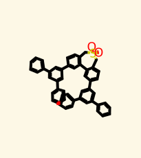 O=S1(=O)Cc2ccc(-c3cc(-c4ccccc4)cc(-c4ccccc4)c3)cc2-c2cc(-c3cc(-c4ccccc4)cc(-c4ccccc4)c3)ccc2C1